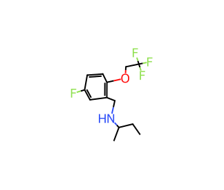 CCC(C)NCc1cc(F)ccc1OCC(F)(F)F